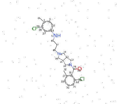 Cc1ccc(NCCCN2CC3CN(C(=O)c4c(C)cccc4Cl)CC3C2)cc1Cl